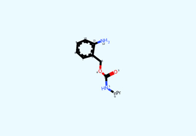 CCCNC(=O)OCc1ccccc1N